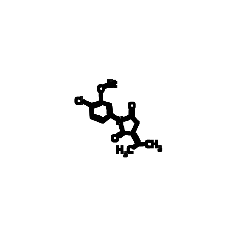 CCOc1cc(N2C(=O)CC(=C(C)C)C2=O)ccc1Cl